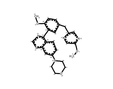 COc1cnc(Cc2ccc(OC)c(-c3ncnc4cc(N5CCOCC5)ccc34)c2)cn1